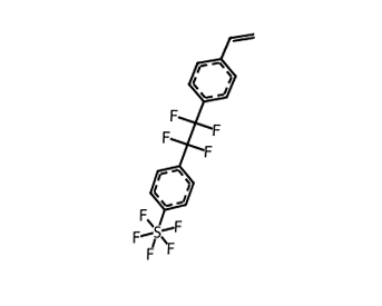 C=Cc1ccc(C(F)(F)C(F)(F)c2ccc(S(F)(F)(F)(F)F)cc2)cc1